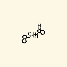 O=C(Cc1cccc2ccccc12)N/N=C/c1c[nH]c2ccccc12